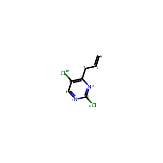 C=CCc1nc(Cl)ncc1Cl